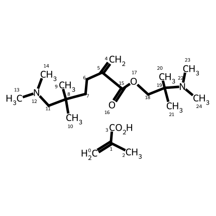 C=C(C)C(=O)O.C=C(CCC(C)(C)CN(C)C)C(=O)OCC(C)(C)N(C)C